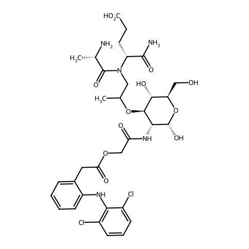 CC(CN(C(=O)[C@H](C)N)[C@H](CCC(=O)O)C(N)=O)O[C@H]1[C@H](O)[C@@H](CO)O[C@H](O)[C@@H]1NC(=O)COC(=O)Cc1ccccc1Nc1c(Cl)cccc1Cl